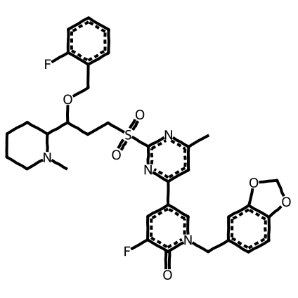 Cc1cc(-c2cc(F)c(=O)n(Cc3ccc4c(c3)OCO4)c2)nc(S(=O)(=O)CCC(OCc2ccccc2F)C2CCCCN2C)n1